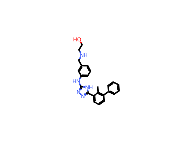 Cc1c(-c2ccccc2)cccc1-c1nnc(Nc2cccc(CNCCO)c2)[nH]1